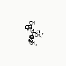 CN(C)[C@@H]1CN([C@H]2CC(O)c3cccc(F)c32)C[C@H]1c1ccc(S(C)(=O)=O)cc1